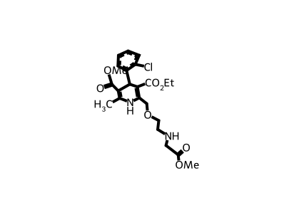 CCOC(=O)C1=C(COCCNCC(=O)OC)NC(C)=C(C(=O)OC)C1c1ccccc1Cl